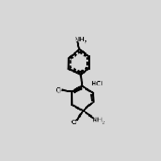 Cl.Nc1ccc(C2=C(Cl)CC(N)(Cl)C=C2)cc1